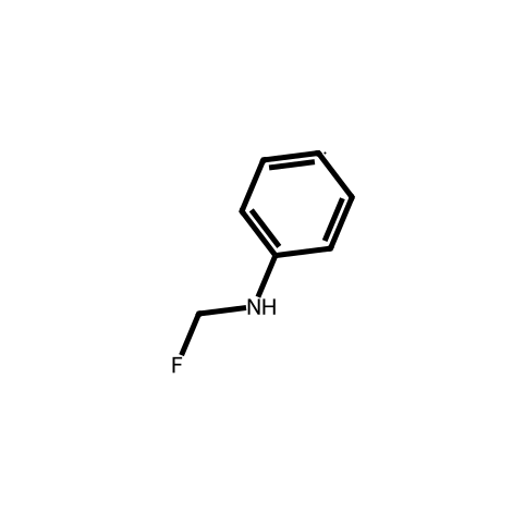 FCNc1cc[c]cc1